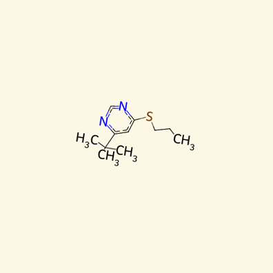 CCCSc1cc(C(C)(C)C)ncn1